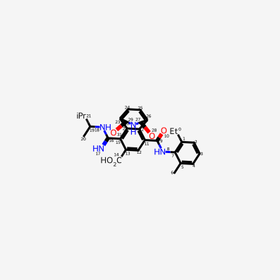 CCc1cccc(C)c1NC(=O)c1cc(C(=O)O)c(C(=N)NC(C)C(C)C)c2c3ccc(c(=O)[nH]c3=O)c12